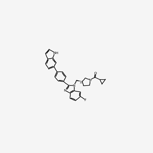 O=C(C1CC1)N1CC[C@@H](Cn2c(-c3ccc(-c4ccc5cc[nH]c5c4)cc3)nc3ccc(F)cc32)C1